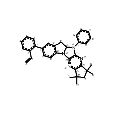 C=Cc1ccccc1-c1ccc2c(c1)CC1N(c3ccccc3)c3nc4c(nc3N21)C(C)(C)CC4(C)C